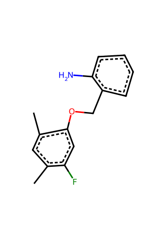 Cc1cc(C)c(OCc2ccccc2N)cc1F